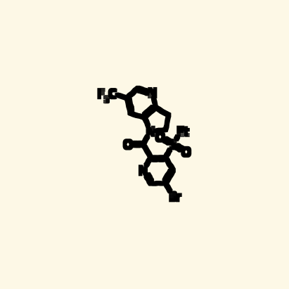 CCS(=O)(=O)c1cc(Br)cnc1C(=O)N1CCc2ncc(C(F)(F)F)cc21